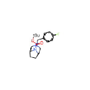 CC(C)(C)OC(=O)N1C2CCC1CN(Cc1ccc(F)cc1)C2